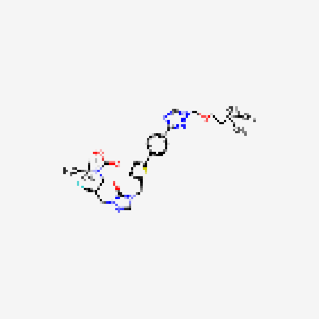 CC(C)(C)N(C/C(=C\F)Cn1ncn(Cc2ccc(-c3ccc(-c4ncn(COCC[Si](C)(C)C)n4)cc3)s2)c1=O)C(=O)O